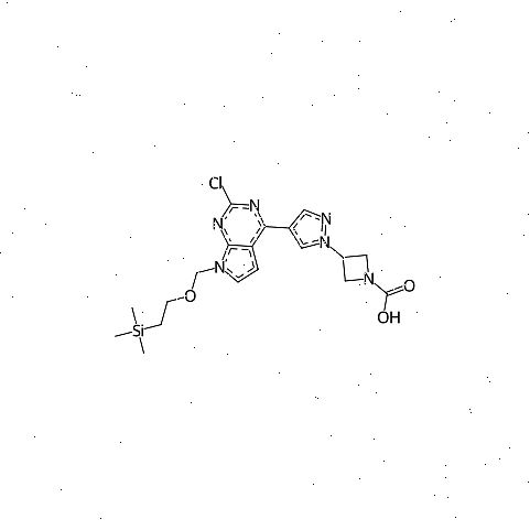 C[Si](C)(C)CCOCn1ccc2c(-c3cnn(C4CN(C(=O)O)C4)c3)nc(Cl)nc21